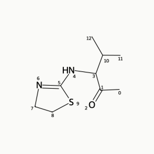 CC(=O)C(NC1=NCCS1)C(C)C